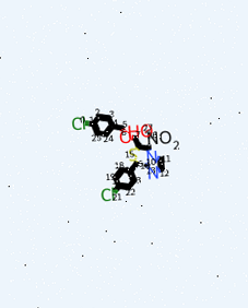 Clc1ccc(COCC(Cn2ccnc2)SCc2ccc(Cl)cc2)cc1.O=[N+]([O-])O